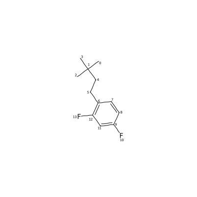 CC(C)(C)CCc1ccc(F)cc1F